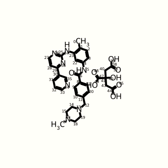 Cc1ccc(NC(=O)c2ccc(CN3CCN(C)CC3)cc2)cc1Nc1nccc(-c2cccnc2)n1.O=C(O)CC(O)(CC(=O)O)C(=O)O